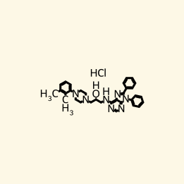 Cc1cccc(N2CCN(C[C@H](O)CNc3ncnc4c3nc(-c3ccccc3)n4-c3ccccc3)CC2)c1C.Cl